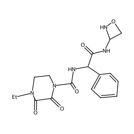 CCN1CCN(C(=O)NC(C(=O)NC2CON2)c2ccccc2)C(=O)C1=O